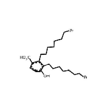 CC(C)CCCCCCCc1c(O)ccc(C(=O)O)c1CCCCCCCC(C)C